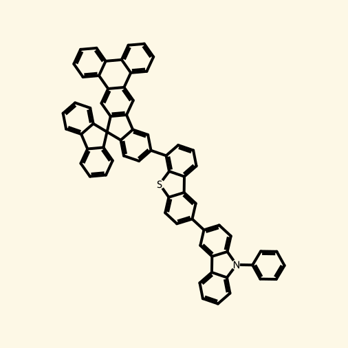 c1ccc(-n2c3ccccc3c3cc(-c4ccc5sc6c(-c7ccc8c(c7)-c7cc9c%10ccccc%10c%10ccccc%10c9cc7C87c8ccccc8-c8ccccc87)cccc6c5c4)ccc32)cc1